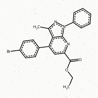 CCOC(=O)c1cc(-c2ccc(Br)cc2)c2c(C)nn(-c3ccccc3)c2n1